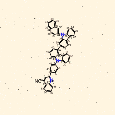 N#Cc1cc(-c2ccc(-n3c4ccccc4c4c(-c5ccc6c7ccccc7n(-c7ccc8ccccc8c7)c6c5)cccc43)cc2)nc2ccccc12